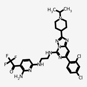 CC(C)N1CCC(c2nc3cc(-c4ccc(Cl)cc4Cl)nc(NCCNc4ccc(C(=O)C(F)(F)F)c(N)n4)n3n2)CC1